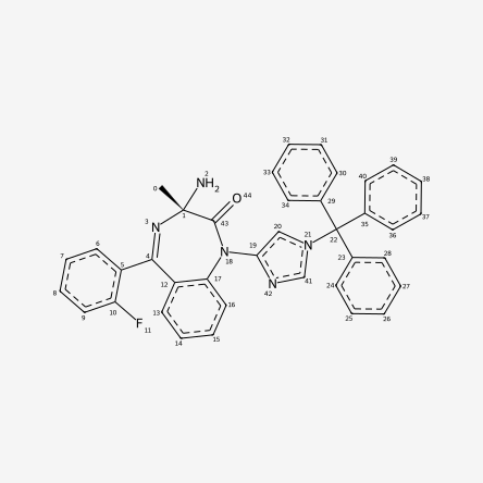 C[C@]1(N)N=C(c2ccccc2F)c2ccccc2N(c2cn(C(c3ccccc3)(c3ccccc3)c3ccccc3)cn2)C1=O